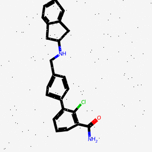 NC(=O)c1cccc(-c2ccc(CNC3Cc4ccccc4C3)cc2)c1Cl